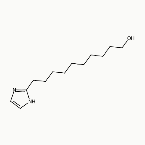 OCCCCCCCCCCc1ncc[nH]1